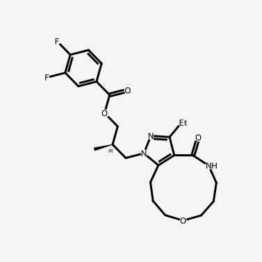 CCc1nn(C[C@@H](C)COC(=O)c2ccc(F)c(F)c2)c2c1C(=O)NCCCOCCC2